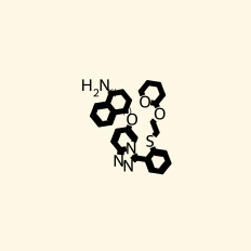 N[C@H]1CC[C@H](Oc2ccc3nnc(-c4ccccc4SCCOC4CCCCO4)n3c2)c2ccccc21